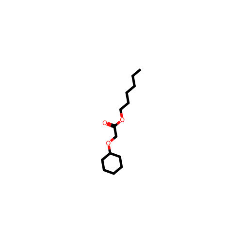 CCCCCCOC(=O)COC1CCCCC1